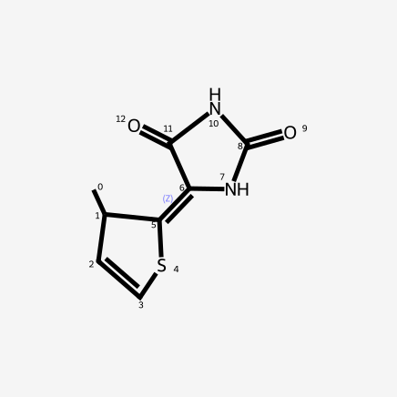 CC1C=CS/C1=C1\NC(=O)NC1=O